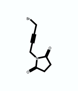 O=C1CCC(=O)N1CC#CCBr